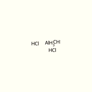 Cl.Cl.[AlH3].[CH]